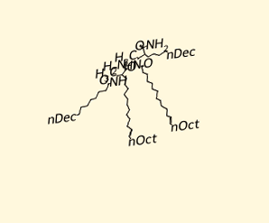 CCCCCCCCC=CCCCCCCCCCCC(C(N)=O)C(C)NC(=O)CCCCCCCCCCCCCCCCC.CCCCCCCCC=CCCCCCCCCCCCC(=O)NC(C)C(CCCCCCCCCCCCCC)C(N)=O